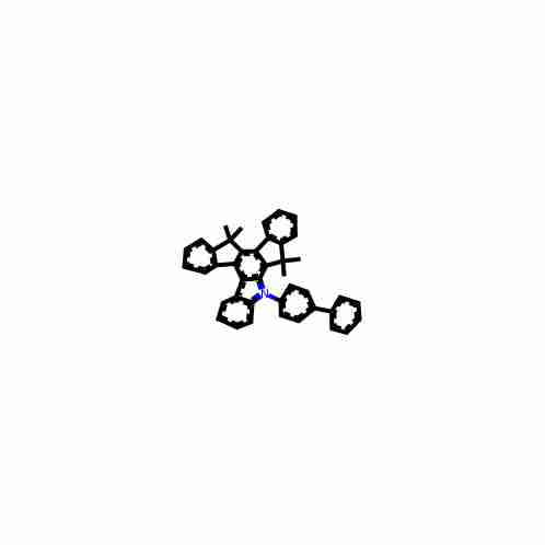 CC1(C)c2ccccc2-c2c1c1c(c3c2c2ccccc2n3-c2ccc(-c3ccccc3)cc2)C(C)(C)c2ccccc2-1